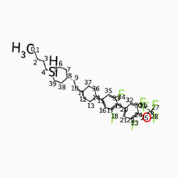 CCCCC[Si@H]1CC[C@H](CCC2CCC(c3cc(F)c(-c4cc(F)c(OC(F)(F)F)c(F)c4)c(F)c3)CC2)CC1